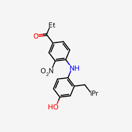 CCC(=O)c1ccc(Nc2ccc(O)cc2CC(C)C)c([N+](=O)[O-])c1